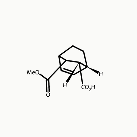 COC(=O)C1C2C=C[C@@H](CC2)[C@@H]1C(=O)O